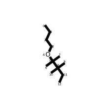 CCCCOC(C)(C)C(C)(C)CC